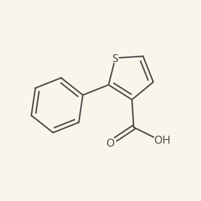 O=C(O)c1ccsc1-c1ccccc1